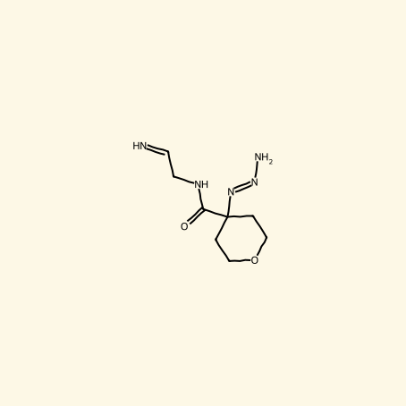 N=CCNC(=O)C1(N=NN)CCOCC1